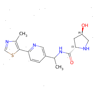 Cc1ncsc1-c1ccc(C(C)NC(=O)[C@@H]2C[C@@H](O)CN2)cn1